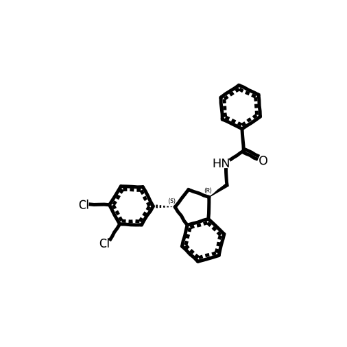 O=C(NC[C@@H]1C[C@@H](c2ccc(Cl)c(Cl)c2)c2ccccc21)c1ccccc1